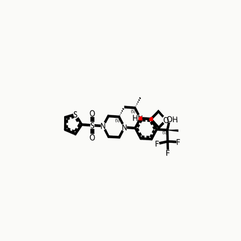 C[C@@H](C[C@H]1CN(S(=O)(=O)c2cccs2)CCN1c1ccc([C@](C)(O)C(F)(F)F)cc1)NC1COC1